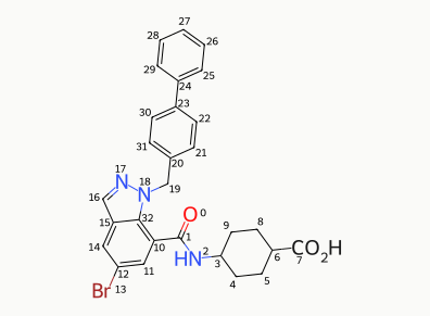 O=C(NC1CCC(C(=O)O)CC1)c1cc(Br)cc2cnn(Cc3ccc(-c4ccccc4)cc3)c12